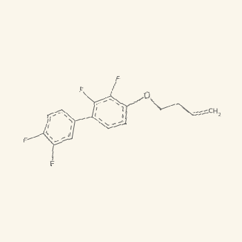 C=CCCOc1ccc(-c2ccc(F)c(F)c2)c(F)c1F